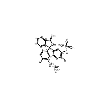 Cc1ccc(C2(c3ccc(C)c(OP(=O)([O-])[O-])c3)OC(=O)c3ccccc32)cc1O.[Na+].[Na+]